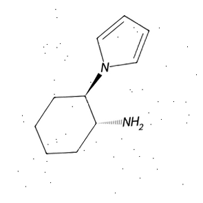 N[C@@H]1CCCC[C@H]1n1cccc1